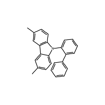 Cc1ccc2c(c1)c1cc(C)ccc1n2-c1ccccc1-c1ccccc1